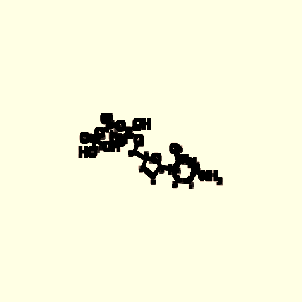 Nc1ccn([C@H]2C=C[C@@H](COP(=O)(O)OP(=O)(O)OP(=O)(O)O)O2)c(=O)n1